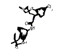 CN1CC2(C/C(=C\C(=O)Nc3ccc4c(c3)NC(=O)C4(C)C)c3ccc(C(F)(F)F)cc3O2)C1